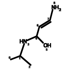 CC(C)NC(O)C=CN